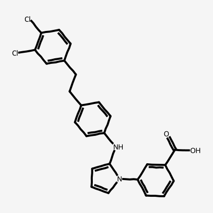 O=C(O)c1cccc(-n2cccc2Nc2ccc(CCc3ccc(Cl)c(Cl)c3)cc2)c1